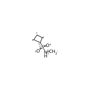 [CH2]NS(=O)(=O)C1CCC1